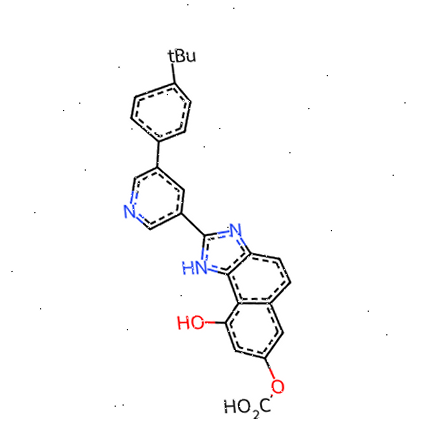 CC(C)(C)c1ccc(-c2cncc(-c3nc4ccc5cc(OC(=O)O)cc(O)c5c4[nH]3)c2)cc1